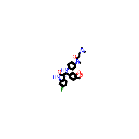 CN(C)CCC(=O)N(C)c1ccc(N/C(=C2\C(=O)Nc3cc(F)ccc32)c2ccc3c(c2)OOC3)cc1